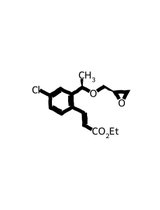 CCOC(=O)/C=C/c1ccc(Cl)cc1[C@@H](C)OC[C@H]1CO1